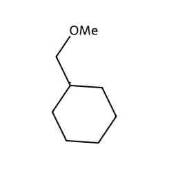 COC[C]1CCCCC1